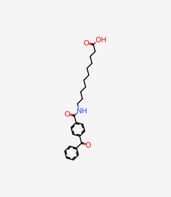 O=C(O)CCCCCCCCCCNC(=O)c1ccc(C(=O)c2ccccc2)cc1